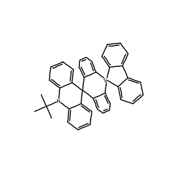 CC(C)(C)N1c2ccccc2C2(c3ccccc31)c1ccccc1[Si]1(c3ccccc3-c3ccccc31)c1ccccc12